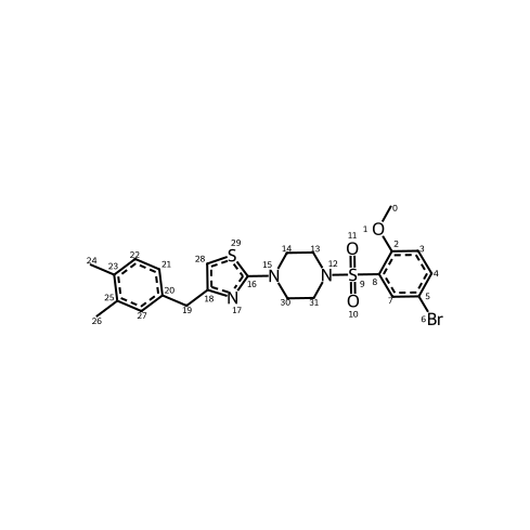 COc1ccc(Br)cc1S(=O)(=O)N1CCN(c2nc(Cc3ccc(C)c(C)c3)cs2)CC1